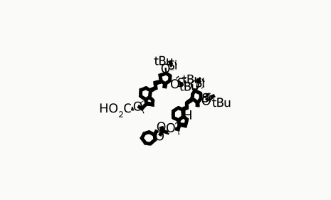 C=C1C(=CC=C2CCC[C@]3(C)C([C@H](C)OCC(=O)O)=CCC23)C[C@@H](O[Si](C)(C)C(C)(C)C)C[C@@H]1O[Si](C)(C)C(C)(C)C.C=C1C(=CC=C2CCC[C@]3(C)C([C@H](C)OCC(=O)OC4(C)CCCCCC4)=CC[C@@H]23)C[C@@H](O[Si](C)(C)C(C)(C)C)C[C@@H]1O[Si](C)(C)C(C)(C)C